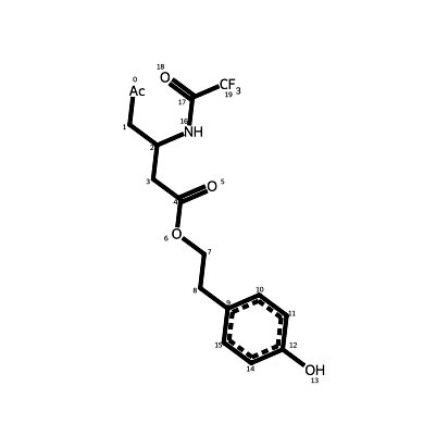 CC(=O)CC(CC(=O)OCCc1ccc(O)cc1)NC(=O)C(F)(F)F